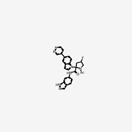 CC(=O)N1CC(F)CC1(C(=O)Nc1ccc2cn[nH]c2c1)n1ccc2cc(-c3ccnnc3)ccc21